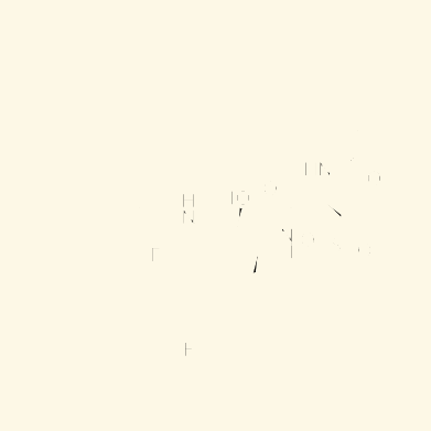 CCCC(CCC)S(=O)(=O)C[C@H](NC(=O)C1CCCCC1)C(=O)N[C@@H](Cc1cc(F)cc(F)c1)[C@H](O)CNCc1cccc(CC)c1